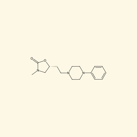 CN1C[C@@H](CCN2CCN(c3ccccc3)CC2)OC1=O